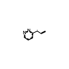 C=C[CH]c1cccnn1